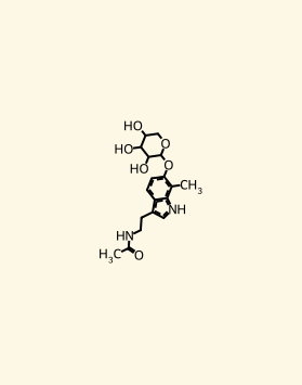 CC(=O)NCCc1c[nH]c2c(C)c(OC3OCC(O)C(O)C3O)ccc12